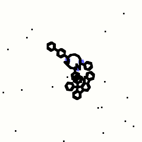 C1=C(c2ccccc2)\N=C(\c2cccc(-n3c4ccccc4c4ccc5c(c43)C(c3ccccc3)(c3ccccc3)c3ccccc3-5)c2)CC2C/C2=C(/c2ccc(-c3ccccc3)cc2)CCC/1